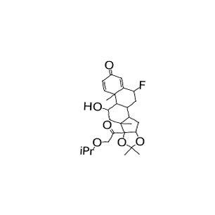 CC(C)OCC(=O)C12OC(C)(C)OC1CC1C3CC(F)C4=CC(=O)C=CC4(C)C3C(O)CC12C